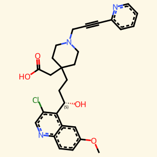 COc1ccc2ncc(Cl)c([C@@H](O)CCC3(CC(=O)O)CCN(CC#Cc4ccccn4)CC3)c2c1